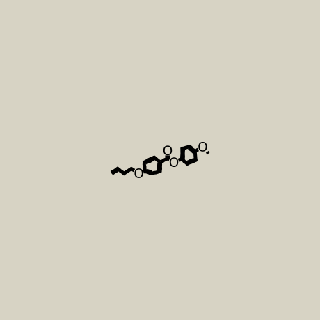 C=CCCOc1ccc(C(=O)Oc2ccc(OC)cc2)cc1